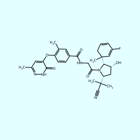 Cc1cc(Oc2ccc(C(=O)NCC(=O)N3[C@H](C4(C)C=C(F)C=CC4)[C@H](O)C[C@@H]3C(C)(C)C#N)cc2C)c(=O)[nH]n1